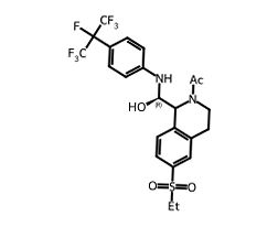 CCS(=O)(=O)c1ccc2c(c1)CCN(C(C)=O)C2[C@@H](O)Nc1ccc(C(F)(C(F)(F)F)C(F)(F)F)cc1